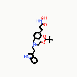 CC(C)(C)C(=O)OCCN(CCc1c[nH]c2ccccc12)Cc1ccc(/C=C/C(=O)NO)cc1